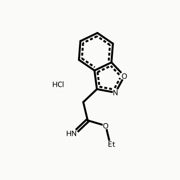 CCOC(=N)Cc1noc2ccccc12.Cl